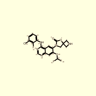 O=C1OC2(CNC2)CN1c1cc2c(Nc3cccc(Cl)c3F)ncnc2cc1OC(F)F